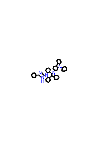 C1=CC2c3c(c4ccccc4n3-c3ccc4c5ccccc5n(-c5ccccc5)c4c3)-c3ccccc3N(C3=CN=C(c4ccccc4)CN3)C2C=C1